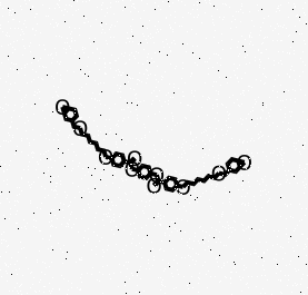 O=C(OC1CCC(OC(=O)C2CCC(OCCCCCCOCC3CCC4OC4C3)CC2)CC1)C1CCC(OCCCCCCOCC2CCC3OC3C2)CC1